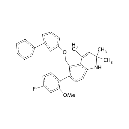 COc1cc(F)ccc1-c1ccc2c(c1COc1cccc(-c3ccccc3)c1)C(C)=CC(C)(C)N2